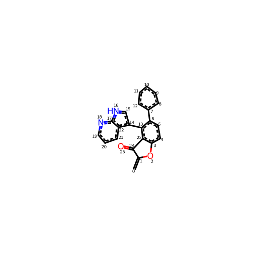 C=C1Oc2ccc(-c3ccccc3)c(-c3c[nH]c4ncccc34)c2C1=O